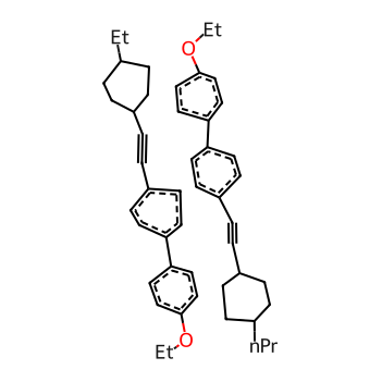 CCCC1CCC(C#Cc2ccc(-c3ccc(OCC)cc3)cc2)CC1.CCOc1ccc(-c2ccc(C#CC3CCC(CC)CC3)cc2)cc1